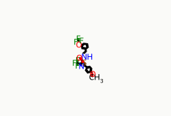 COc1ccc(-c2nc(C(F)(F)F)c(C(=O)NCCc3cccc(OC(F)(F)F)c3)s2)cc1